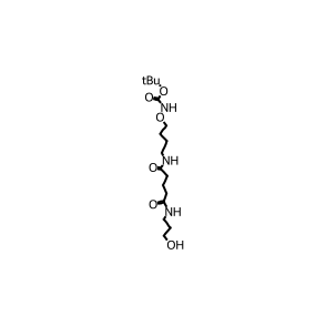 CC(C)(C)OC(=O)NOCCCCNC(=O)CCCC(=O)NCCCO